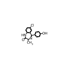 CC1N=C(c2ccc(O)cc2)c2cc(Cl)ccc2NC1=O